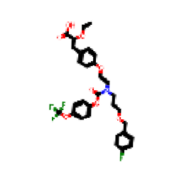 CCOC(Cc1ccc(OCCN(CCCOCc2ccc(F)cc2)C(=O)Oc2ccc(OC(F)(F)F)cc2)cc1)C(=O)O